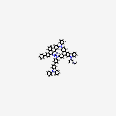 C=C/C(=C\C=C/C)n1c2ccccc2c2cc(-c3ccc(N(c4ccccc4)c4cccc(-c5cc(-c6ccc(-c7ccccc7)cc6-c6ccccc6)nc(N(c6ccccc6)c6ccc(-c7ccc8c(c7)c7ccccc7n8-c7ccccc7)cc6)n5)c4)cc3)ccc21